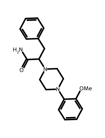 COc1ccccc1N1CCN(C(Cc2ccccc2)C(N)=O)CC1